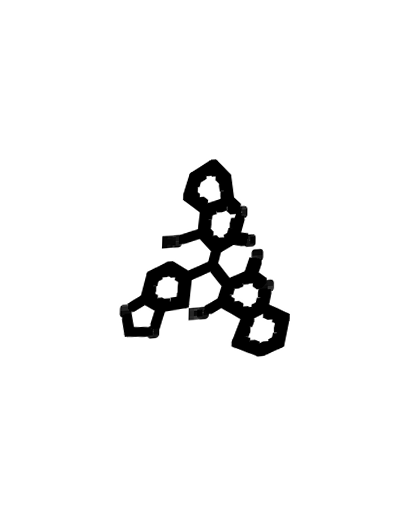 O=c1oc2ccccc2c(O)c1C(c1ccc2c(c1)OCO2)c1c(O)c2ccccc2oc1=O